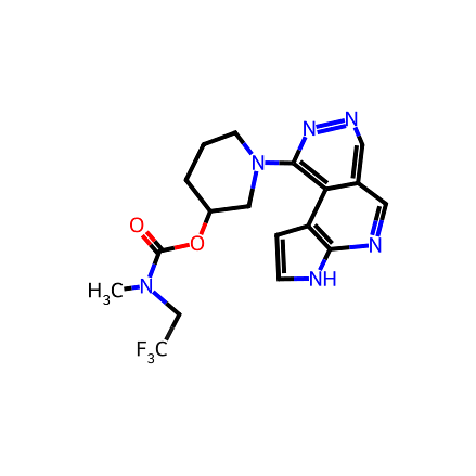 CN(CC(F)(F)F)C(=O)OC1CCCN(c2nncc3cnc4[nH]ccc4c23)C1